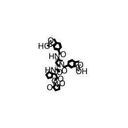 O=C(CC1(NC(=O)[C@@H]2C[C@@H](NC(=O)c3ccc4c(c3)B(O)OC4)CN2C(=O)c2ccc3c(c2)B(O)OC3)CCCC1)ON1C(=O)CCC1=O